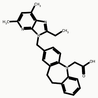 CCc1nc2c(C)cc(C)nc2n1Cc1ccc2c(c1)CCc1ccccc1N2CC(=O)O